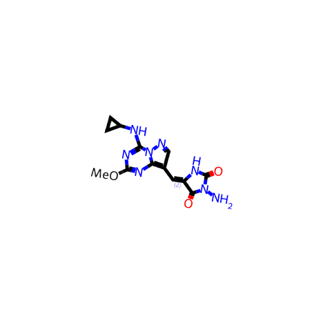 COc1nc(NC2CC2)n2ncc(/C=C3\NC(=O)N(N)C3=O)c2n1